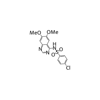 COc1cc2ncnc(NS(=O)(=O)c3ccc(Cl)cc3)c2cc1OC